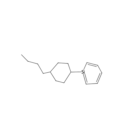 CCCCC1CCC([si]2ccccc2)CC1